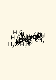 COCOc1c(-c2cc(C(N)=O)c3cc(N4C[C@H](C)N(C(=O)O)[C@@H](C)C4)cnc3n2)cc2cn(C)nc2c1C